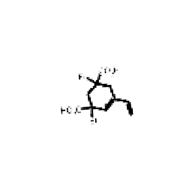 C=CC1=CC(CC)(C(=O)O)CC(CC)(C(=O)O)C1